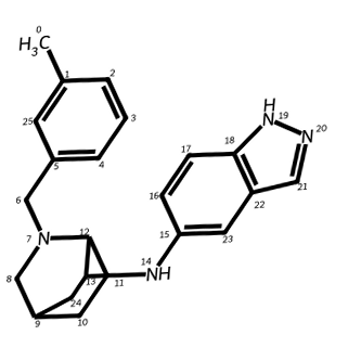 Cc1cccc(CN2CC3CCC2C(Nc2ccc4[nH]ncc4c2)C3)c1